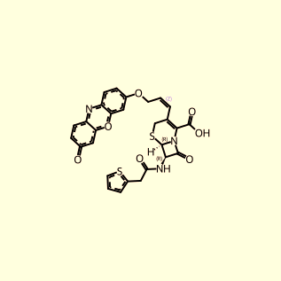 O=C(Cc1cccs1)N[C@@H]1C(=O)N2C(C(=O)O)=C(/C=C\COc3ccc4nc5ccc(=O)cc-5oc4c3)CS[C@H]12